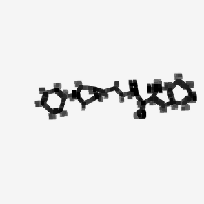 O=C(NCCC1C2CN(c3ccccc3)CC12)c1cc2cnccc2[nH]1